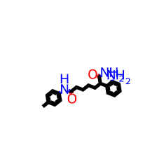 Cc1ccc(NC(=O)CCCCC(C(N)=O)c2ccccc2N)cc1